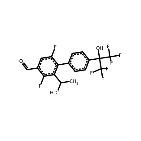 CC(C)c1c(F)c(C=O)cc(F)c1-c1ccc(C(O)(C(F)(F)F)C(F)(F)F)cc1